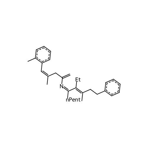 C=C(C/C(C)=C\c1ccccc1C)/N=C(CCCCC)\C(CC)=C(/C)CCc1ccccc1